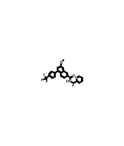 COc1cc(-c2ccc(C(F)(F)F)cc2)c2ccc(C(=O)N[C@H](C)c3ccccn3)cc2c1